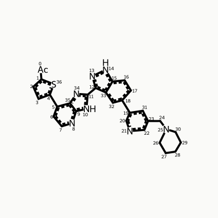 CC(=O)c1ccc(-c2ccnc3[nH]c(-c4n[nH]c5ccc(-c6cncc(CN7CCCCC7)c6)cc45)nc23)s1